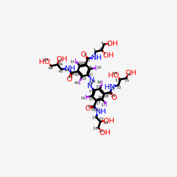 O=C(NCC(O)CO)c1c(I)c(N=Nc2c(I)c(C(=O)NCC(O)CO)c(I)c(C(=O)NCC(O)CO)c2I)c(I)c(C(=O)NCC(O)CO)c1I